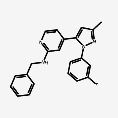 Cc1cc(-c2ccnc(NCc3ccccc3)c2)n(-c2cccc(F)c2)n1